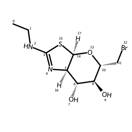 CCNC1=N[C@@H]2[C@@H](O)[C@H](O)[C@@H](CBr)O[C@@H]2S1